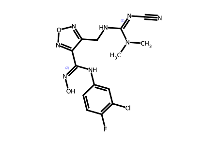 CN(C)/C(=N\C#N)NCc1nonc1/C(=N/O)Nc1ccc(F)c(Cl)c1